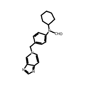 O=CN(c1ccc(Cn2ccc3ncnc-3c2)cc1)C1CCCCC1